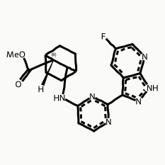 COC(=O)[C@@H]1C2CCC(CC2)C1Nc1ccnc(-c2n[nH]c3ncc(F)cc23)n1